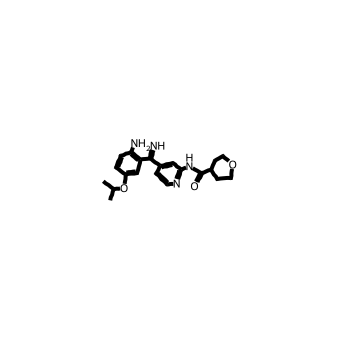 CC(C)Oc1ccc(N)c(C(=N)c2ccnc(NC(=O)C3CCOCC3)c2)c1